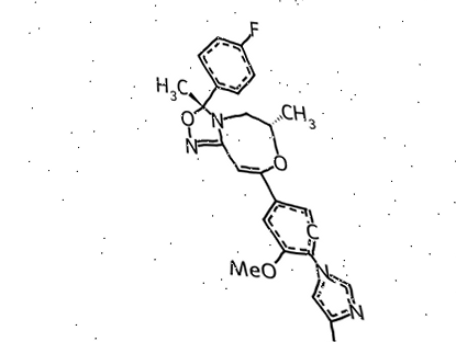 COc1cc(C2=CC3=NO[C@](C)(c4ccc(F)cc4)N3C[C@H](C)O2)ccc1-n1cnc(C)c1